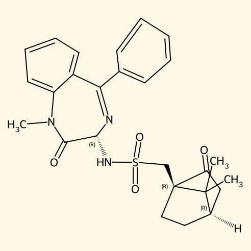 CN1C(=O)[C@@H](NS(=O)(=O)C[C@@]23CC[C@H](CC2=O)C3(C)C)N=C(c2ccccc2)c2ccccc21